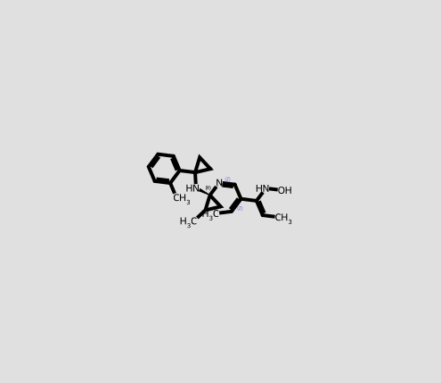 CC=C(NO)C(/C=N\[C@]1(NC2(c3ccccc3C)CC2)CC1C)=C/C